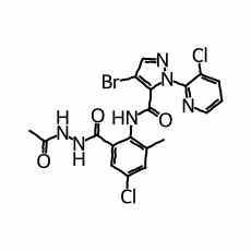 CC(=O)NNC(=O)c1cc(Cl)cc(C)c1NC(=O)c1c(Br)cnn1-c1ncccc1Cl